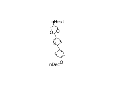 CCCCCCCCCCOc1ccc(-c2ccc(C3OCC(CCCCCCC)CO3)cn2)cc1